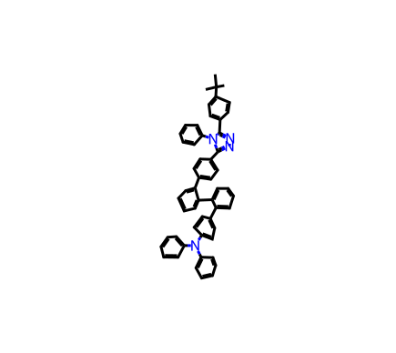 CC(C)(C)c1ccc(-c2nnc(-c3ccc(-c4ccccc4-c4ccccc4-c4ccc(N(c5ccccc5)c5ccccc5)cc4)cc3)n2-c2ccccc2)cc1